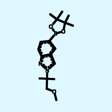 COCC(C)(C)n1cc2cc(B3OC(C)(C)C(C)(C)O3)ccc2n1